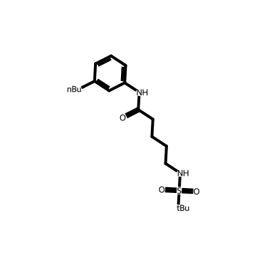 CCCCc1cccc(NC(=O)CCCCNS(=O)(=O)C(C)(C)C)c1